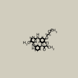 C=CC(=O)Nc1cccc(Nc2nc(Nc3ccc(Cl)c(OCCOC)c3)ncc2C)c1